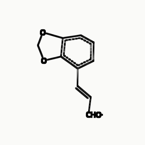 O=[C]/C=C/c1cccc2c1OCO2